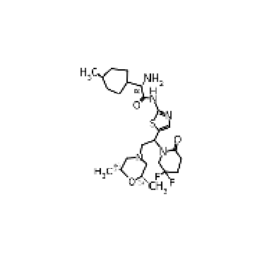 CC1CCC([C@H](N)C(=O)Nc2ncc(C(CN3C[C@@H](C)O[C@@H](C)C3)N3CC(F)(F)CCC3=O)s2)CC1